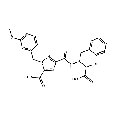 COc1cccc(Cn2nc(C(=O)NC(Cc3ccccc3)C(O)C(=O)O)cc2C(=O)O)c1